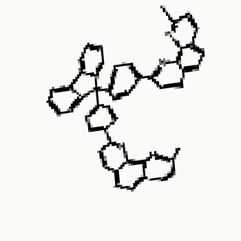 Cc1ccc2ccc3ccc(-c4ccc(C5(c6ccc(-c7ccc8ccc9ccc(C)nc9c8n7)cc6)c6ccccc6-c6ccccc65)cc4)nc3c2n1